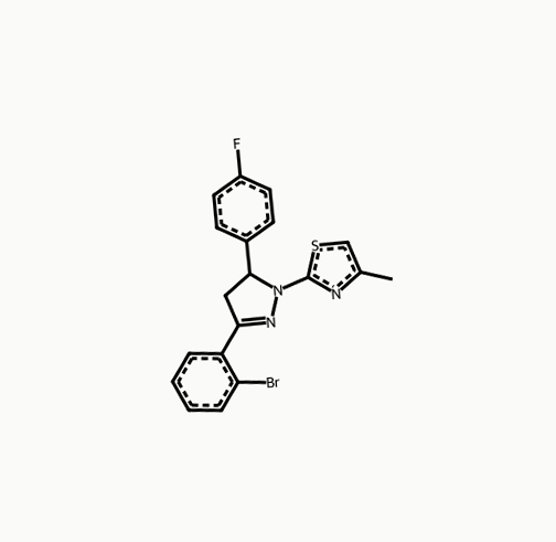 Cc1csc(N2N=C(c3ccccc3Br)CC2c2ccc(F)cc2)n1